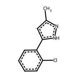 Cc1[c]c(-c2ccccc2Cl)[nH]n1